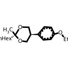 CCCCCC[C@]1(C)OC[C@@H](c2ccc(OCC)cc2)CO1